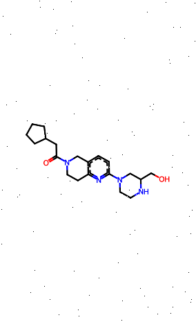 O=C(CC1CCCC1)N1CCc2nc(N3CCNC(CO)C3)ccc2C1